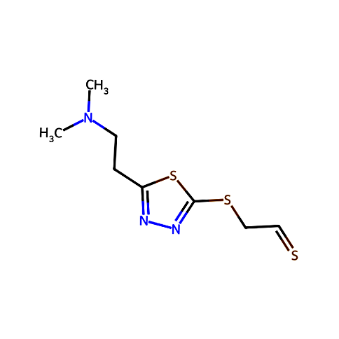 CN(C)CCc1nnc(SCC=S)s1